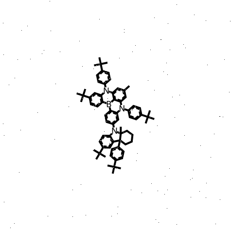 Cc1cc2c3c(c1)N(c1ccc(C(C)(C)C)cc1)c1cc(C(C)(C)C)ccc1B3c1ccc(N3c4ccc(C(C)(C)C)cc4C4(c5ccc(C(C)(C)C)cc5)CCCCC34C)cc1N2c1ccc(C(C)(C)C)cc1